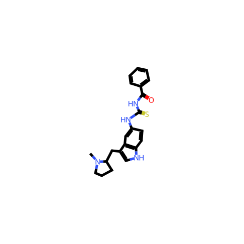 CN1CCCC1Cc1c[nH]c2ccc(NC(=S)NC(=O)c3ccccc3)cc12